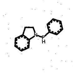 c1ccc(PN2CCc3ccccc32)cc1